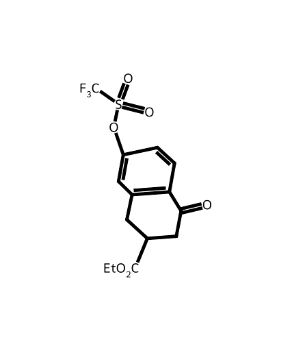 CCOC(=O)C1CC(=O)c2ccc(OS(=O)(=O)C(F)(F)F)cc2C1